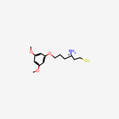 COc1cc(OC)cc(OCCC[C@@H](N)CCS)c1